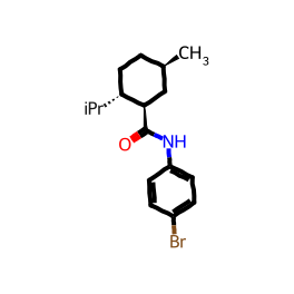 CC(C)[C@@H]1CC[C@@H](C)C[C@H]1C(=O)Nc1ccc(Br)cc1